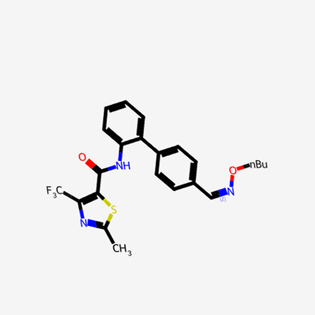 CCCCO/N=C\c1ccc(-c2ccccc2NC(=O)c2sc(C)nc2C(F)(F)F)cc1